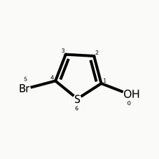 Oc1ccc(Br)s1